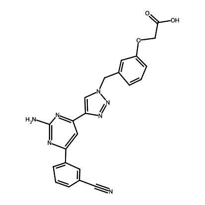 N#Cc1cccc(-c2cc(-c3cn(Cc4cccc(OCC(=O)O)c4)nn3)nc(N)n2)c1